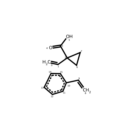 C=CC1(C(=O)O)CC1.C=Cc1ccccc1